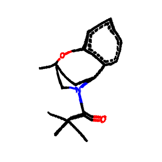 CC12CC(c3ccccc3O1)N(C(=O)C(C)(C)C)C2